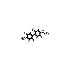 CCCOc1c(F)c(F)c(-c2c(F)c(F)c(O)c(F)c2F)c(F)c1F